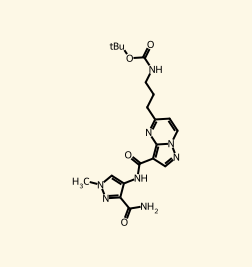 Cn1cc(NC(=O)c2cnn3ccc(CCCNC(=O)OC(C)(C)C)nc23)c(C(N)=O)n1